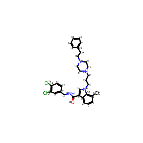 CCc1cccc2c(C(=O)NCc3ccc(Cl)c(Cl)c3)cn(CCCN3CCN(CCc4ccccc4)CC3)c12